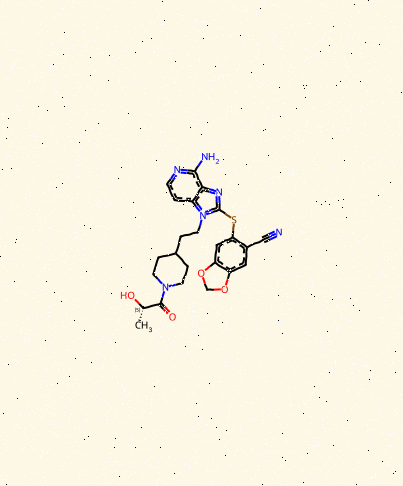 C[C@H](O)C(=O)N1CCC(CCn2c(Sc3cc4c(cc3C#N)OCO4)nc3c(N)nccc32)CC1